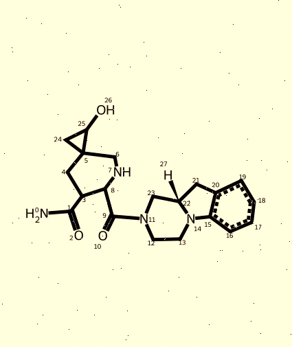 NC(=O)C1CC2(CNC1C(=O)N1CCN3c4ccccc4C[C@H]3C1)CC2O